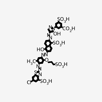 Cc1cc(N=Nc2ccc3c(S(=O)(=O)O)c(N=Nc4cnn(-c5cc(C(=O)O)cc(S(=O)(=O)O)c5)c4O)ccc3c2O)c(OCCCS(=O)(=O)O)cc1N=Nc1nc2c(S(=O)(=O)O)cc(Cl)cc2s1